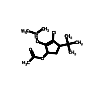 CC(=O)OC1CC(C(C)(C)C)C(Cl)=C1O[SiH](C)C